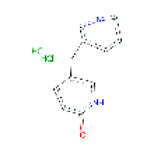 Cl.Cl.O=c1ccc(Cc2cccnc2)c[nH]1